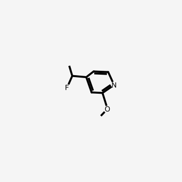 COc1cc(C(C)F)ccn1